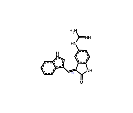 N=C(N)Nc1ccc2c(c1)/C(=C\c1c[nH]c3ccccc13)C(=O)N2